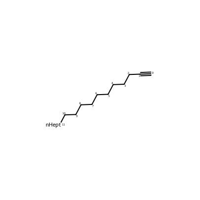 [C]#CCCCCCCCCCCCCCCC[CH2]